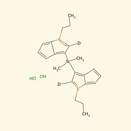 CCCS1=[C]([Zr])C([Si](C)(C)C2=C3C=CC=C3S(CCC)=[C]2[Zr])=C2C=CC=C21.Cl.Cl